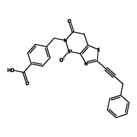 O=C(O)c1ccc(CN2C(=O)Cc3sc(C#CCc4ccccc4)nc3[S+]2[O-])cc1